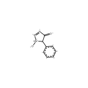 O=C1N=N[NH+]([O-])C1c1ccccc1